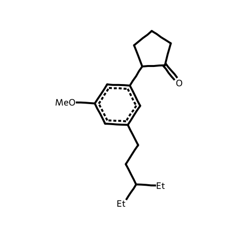 CCC(CC)CCc1cc(OC)cc(C2CCCC2=O)c1